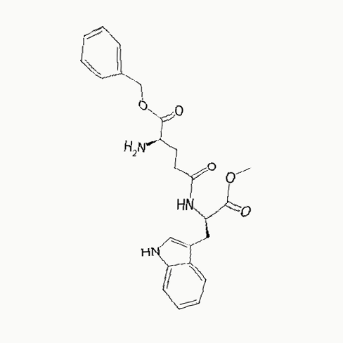 COC(=O)[C@@H](Cc1c[nH]c2ccccc12)NC(=O)CC[C@@H](N)C(=O)OCc1ccccc1